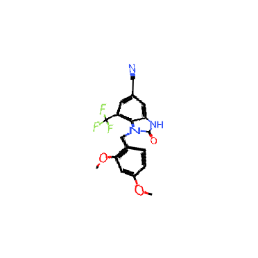 COc1ccc(Cn2c(=O)[nH]c3cc(C#N)cc(C(F)(F)F)c32)c(OC)c1